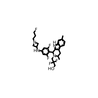 Cc1ccc2c3c([nH]c2c1)C(c1c(F)cc(NC2CN(CCCF)C2)cc1F)N(CC(F)(F)CO)C(C)C3